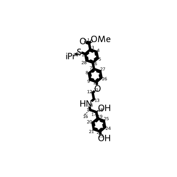 COC(=O)c1ccc(-c2ccc(OCCN[C@@H](C)[C@H](O)c3ccc(O)cc3)cc2)cc1SC(C)C